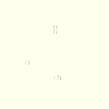 CC1CC(C#N)C(Cl)=CN1